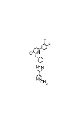 Cn1cc(-c2cnc(-c3cccc(Cc4nn(-c5ccc(F)c(F)c5)ccc4=O)c3)nc2)cn1